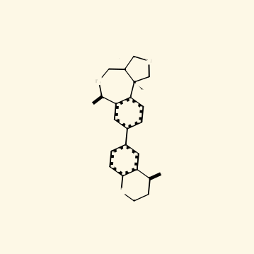 O=C1CCOc2ccc(-c3ccc4c(c3)C(=O)NC[C@H]3CNC[C@H]43)cc21